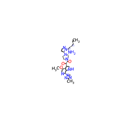 C=C/C=C\C=C(/N)n1nccc1N1CCN(C(=O)C(=O)c2c[nH]c3c(-n4cnc(C)n4)ncc(OC)c23)CC1